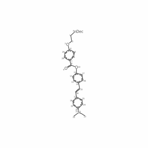 CCCCCCCCCCCCOc1ccc(C(=O)Oc2ccc(C=Cc3ccc(N(C)C)cc3)cc2)cc1